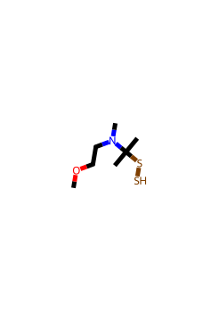 COCCN(C)C(C)(C)SS